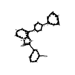 Clc1cccc(-c2nc3c(-c4ccc(-c5ccccc5)cc4)cccn3n2)c1